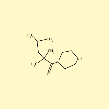 CC(C)CC(C)(C)C(=O)N1CCNCC1